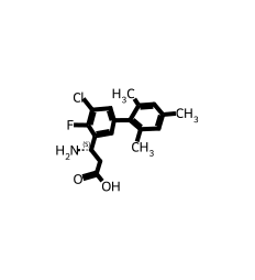 Cc1cc(C)c(-c2cc(Cl)c(F)c([C@@H](N)CC(=O)O)c2)c(C)c1